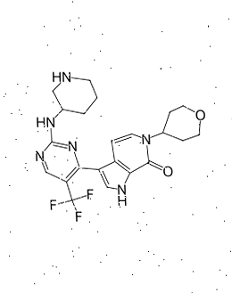 O=c1c2[nH]cc(-c3nc(NC4CCCNC4)ncc3C(F)(F)F)c2ccn1C1CCOCC1